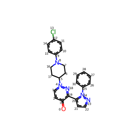 O=c1ccn(C2CCN(c3ccc(Cl)cc3)CC2)nc1-c1ccnn1-c1ccccc1